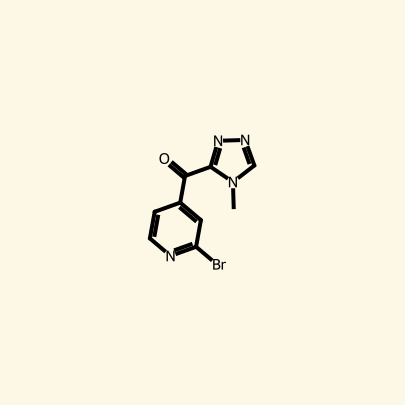 Cn1cnnc1C(=O)c1ccnc(Br)c1